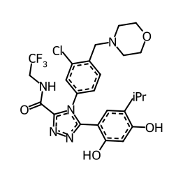 CC(C)c1cc(-c2nnc(C(=O)NCC(F)(F)F)n2-c2ccc(CN3CCOCC3)c(Cl)c2)c(O)cc1O